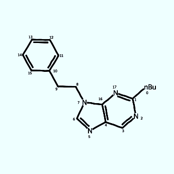 CCCCc1ncc2ncn(CCc3ccccc3)c2n1